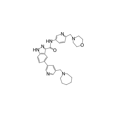 O=C(Nc1ccc(CN2CCOCC2)nc1)c1n[nH]c2ccc(-c3cncc(CN4CCCCCC4)c3)cc12